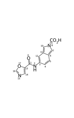 O=C(Nc1ccc2cn(C(=O)O)cc2c1)c1cnco1